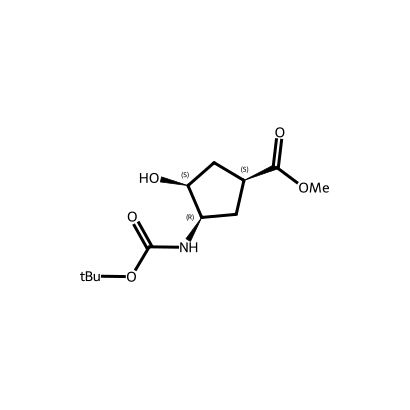 COC(=O)[C@@H]1C[C@H](O)[C@H](NC(=O)OC(C)(C)C)C1